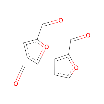 C=O.O=Cc1ccco1.O=Cc1ccco1